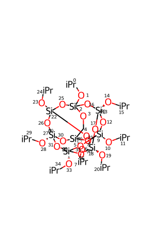 CC(C)O[Si]12OC[Si@@]3(OC(C)C)O[Si]4(OC(C)C)O[Si@@](OC(C)C)(O1)O[Si@@]1(OC(C)C)O[Si](OC(C)C)(O2)O[Si@@](OC(C)C)(O3)O[Si@@](OC(C)C)(O4)O1